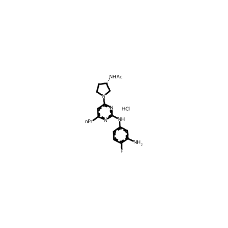 CCCc1cc(N2CC[C@H](NC(C)=O)C2)nc(Nc2ccc(F)c(N)c2)n1.Cl